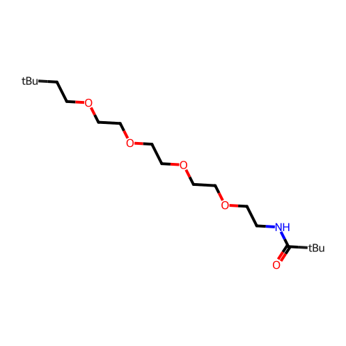 CC(C)(C)CCOCCOCCOCCOCCNC(=O)C(C)(C)C